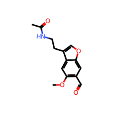 COc1cc2c(CCNC(C)=O)coc2cc1C=O